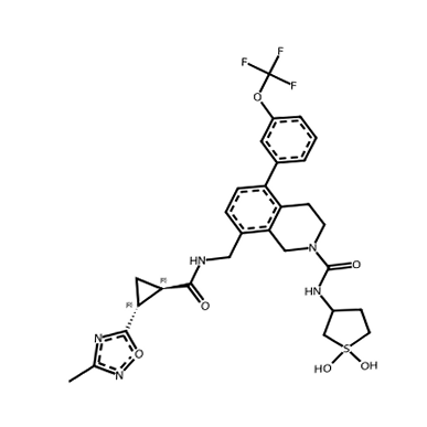 Cc1noc([C@@H]2C[C@H]2C(=O)NCc2ccc(-c3cccc(OC(F)(F)F)c3)c3c2CN(C(=O)NC2CCS(O)(O)C2)CC3)n1